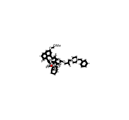 COCOc1cc(-c2ncc3c(N4CC5CCC(C4)N5C(=O)OC(C)(C)C)nc(OCC(C)CN4CCN(Cc5ccccc5)CC4)nc3c2F)c2c(C#C[Si](C(C)C)(C(C)C)C(C)C)c(F)ccc2c1